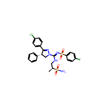 C[C@@H](CN/C(=N\S(=O)(=O)c1ccc(F)cc1)N1C[C@H](c2ccccc2)C(c2ccc(Cl)cc2)=N1)S(N)(=O)=O